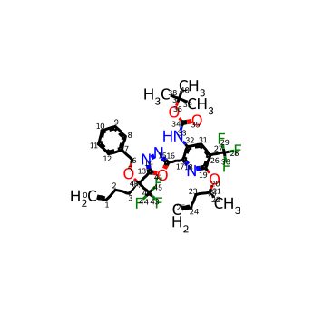 C=CCC[C@@](OCc1ccccc1)(c1nnc(-c2nc(O[C@@H](C)CC=C)c(C(F)(F)F)cc2NC(=O)OC(C)(C)C)o1)C(F)(F)F